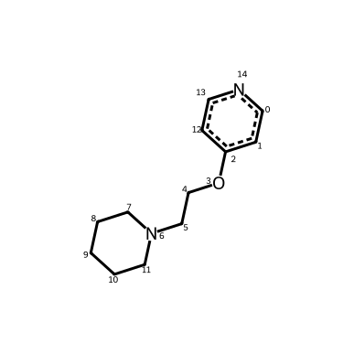 c1cc(OCCN2CCCCC2)ccn1